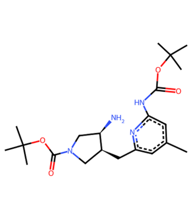 Cc1cc(C[C@H]2CN(C(=O)OC(C)(C)C)C[C@H]2N)nc(NC(=O)OC(C)(C)C)c1